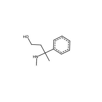 CNC(C)(CCO)c1ccccc1